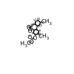 COC(=O)Oc1cc2c(cc1C)-c1cc(C)ccc1CS2(=O)=O